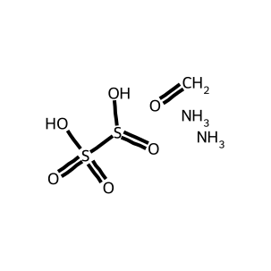 C=O.N.N.O=S(O)S(=O)(=O)O